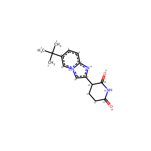 CC(C)(C)c1ccc2nc(C3CCC(=O)NC3=O)cn2c1